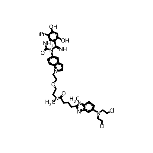 CC(C)c1cc(C(=N)N(C(N)=O)c2ccc3c(ccn3CCOCCN(C)C(=O)CCCc3nc4cc(N(CCCl)CCCl)ccc4n3C)c2)c(O)cc1O